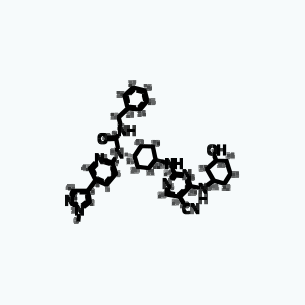 Cn1cc(-c2ccc(N(C(=O)NCc3ccccc3)[C@H]3CC[C@H](Nc4ncc(C#N)c(NC5CCCC(O)C5)n4)CC3)nc2)cn1